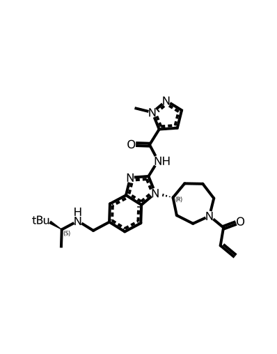 C=CC(=O)N1CCC[C@@H](n2c(NC(=O)c3ccnn3C)nc3cc(CN[C@@H](C)C(C)(C)C)ccc32)CC1